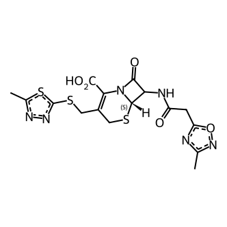 Cc1noc(CC(=O)NC2C(=O)N3C(C(=O)O)=C(CSc4nnc(C)s4)CS[C@@H]23)n1